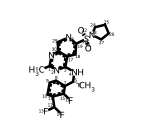 Cc1nc(N[C@H](C)c2cccc(C(F)F)c2F)c2cc(S(=O)(=O)N3CCCC3)ncc2n1